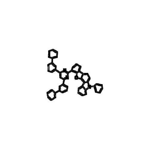 c1ccc(-c2cccc(-c3cc(-c4cccc(-c5ccccc5)c4)nc(-c4cccc5c4oc4c5ccc5c4c4ccccc4n5-c4ccccc4)n3)c2)cc1